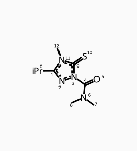 CC(C)c1nn(C(=O)N(C)C)c(=S)n1C